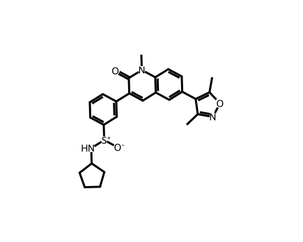 Cc1noc(C)c1-c1ccc2c(c1)cc(-c1cccc([S+]([O-])NC3CCCC3)c1)c(=O)n2C